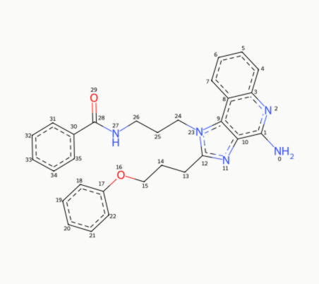 Nc1nc2ccccc2c2c1nc(CCCOc1ccccc1)n2CCCNC(=O)c1ccccc1